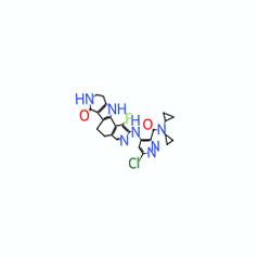 O=C1NCCc2[nH]c3c(c21)CCc1cnc(Nc2cc(Cl)nnc2C(=O)N(C2CC2)C2CC2)c(F)c1-3